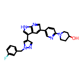 OC1CCN(c2ccc(-c3cnc4[nH]cc(-c5cnn(Cc6cccc(F)c6)c5)c4c3)cn2)CC1